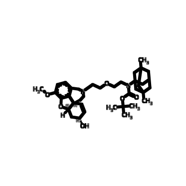 COc1ccc2c3c1O[C@H]1C[C@@H](O)C=C[C@@]31CCN(CCOCCN(C(=O)OC(C)(C)C)C13CC4CC(C)(CC(C)(C4)C1)C3)C2